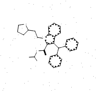 CC(C)NC(=O)c1c(C(c2ccccc2)c2ccccc2)c2ccccc2n1CCC1CCCN1